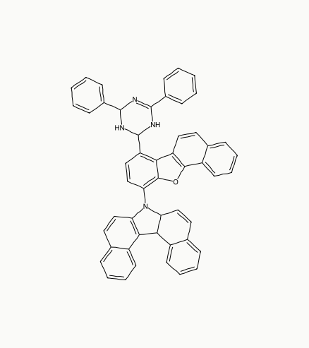 C1=CC2C(c3ccccc31)c1c(ccc3ccccc13)N2c1ccc(C2NC(c3ccccc3)=NC(c3ccccc3)N2)c2c1oc1c3ccccc3ccc12